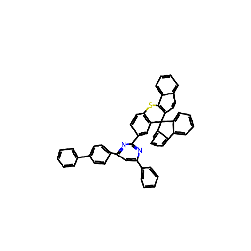 c1ccc(-c2ccc(-c3cc(-c4ccccc4)nc(-c4ccc5c(c4)C4(c6ccccc6-c6ccccc64)c4ccc6ccccc6c4S5)n3)cc2)cc1